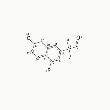 CC(C)(C=O)c1cc(F)c2c(c1)=CC(=O)[N]C=2